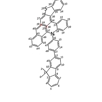 CC1(C)c2ccccc2-c2ccc(-c3ccc(N(c4ccccc4-c4cccc5sc6ccccc6c45)c4cccc5ccccc45)cc3)cc21